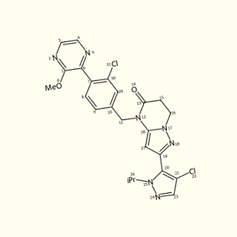 COc1nccnc1-c1ccc(CN2C(=O)CCn3nc(-c4c(Cl)cnn4C(C)C)cc32)cc1Cl